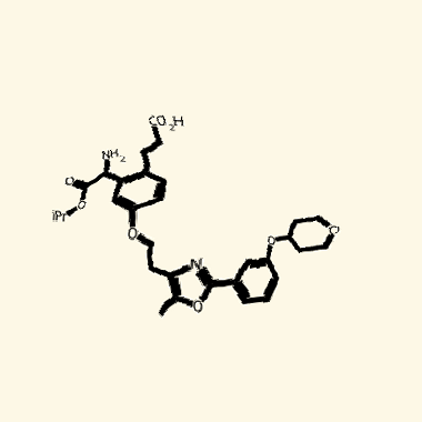 Cc1oc(-c2cccc(OC3CCOCC3)c2)nc1CCOc1ccc(CCC(=O)O)c(C(N)C(=O)OC(C)C)c1